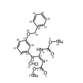 CC(C)(C)OC(=O)N=C(NC(=O)OC(C)(C)C)N(C=O)c1cccc(OCc2ccccc2)c1